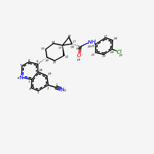 N#Cc1ccc2nccc([C@H]3CC[C@@]4(CC3)C[C@@H]4C(=O)Nc3ccc(Cl)cc3)c2c1